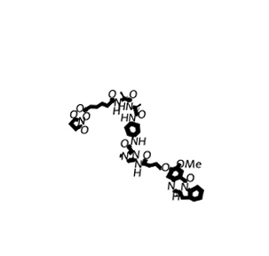 COc1cc2c(cc1OCCCC(=O)Nc1cn(C)c(C(=O)Nc3ccc(NC(=O)[C@H](C)NC(=O)[C@H](C)NC(=O)CCCCC(=O)ON4C(=O)CCC4=O)cc3)n1)N=C[C@@H]1Cc3ccccc3N1C2=O